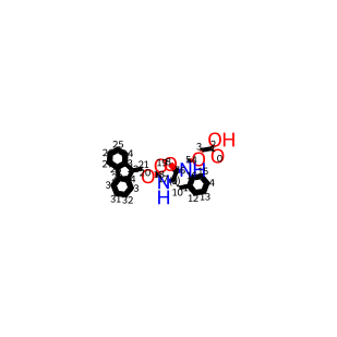 O=C(O)COCNC(=O)[C@H](Cc1ccccc1)NC(=O)OCC1c2ccccc2-c2ccccc21